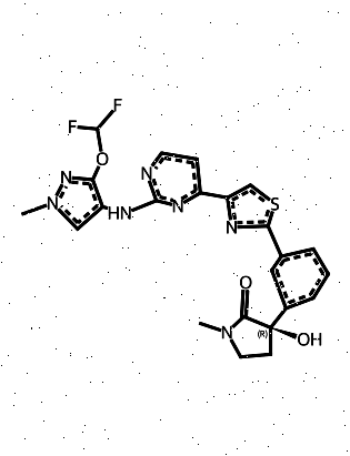 CN1CC[C@@](O)(c2cccc(-c3nc(-c4ccnc(Nc5cn(C)nc5OC(F)F)n4)cs3)c2)C1=O